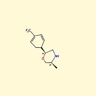 C[C@H]1CO[C@@H](C2C=CC(C(F)(F)F)=CC2)CN1